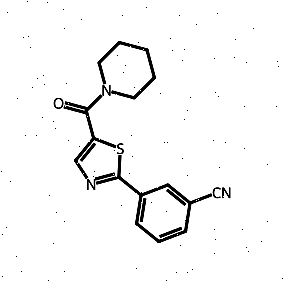 N#Cc1cccc(-c2ncc(C(=O)N3CCCCC3)s2)c1